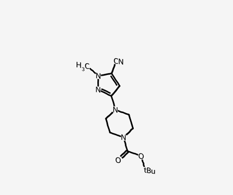 Cn1nc(N2CCN(C(=O)OC(C)(C)C)CC2)cc1C#N